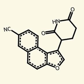 N#Cc1ccc2c(ccc3occ(C4CCC(=O)NC4=O)c32)c1